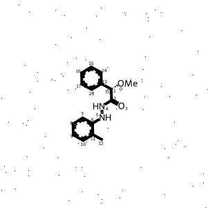 CO[C@H](C(=O)NNc1ccccc1C)c1ccccc1